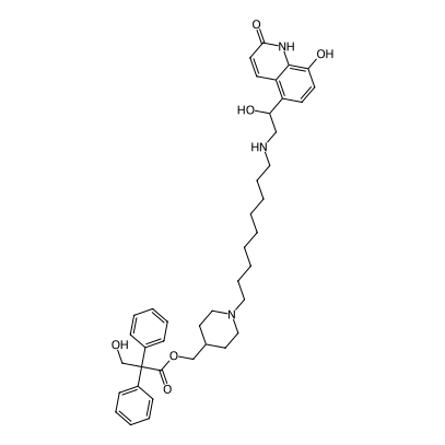 O=C(OCC1CCN(CCCCCCCCCNCC(O)c2ccc(O)c3[nH]c(=O)ccc23)CC1)C(CO)(c1ccccc1)c1ccccc1